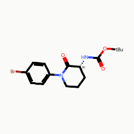 CC(C)(C)OC(=O)N[C@@H]1CCCN(c2ccc(Br)cc2)C1=O